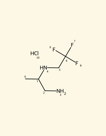 CC(CN)NCC(F)(F)F.Cl